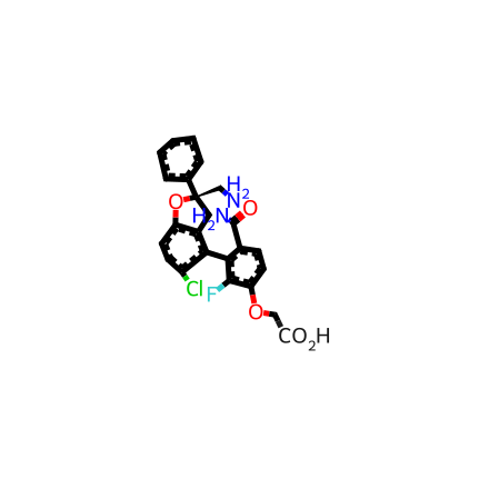 NC[C@@]1(c2ccccc2)Cc2c(ccc(Cl)c2-c2c(C(N)=O)ccc(OCC(=O)O)c2F)O1